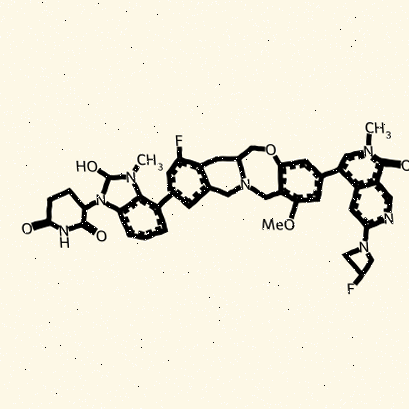 COc1cc(-c2cn(C)c(=O)c3cnc(N4CC(F)C4)cc23)cc2c1CN1Cc3cc(-c4cccc5c4N(C)C(O)N5C4CCC(=O)NC4=O)cc(F)c3CC1CO2